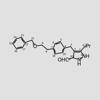 CC(C)C1=C(Cc2ccc(CCOCc3ccccc3)cc2)C(C=O)NN1